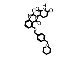 Cc1nc2cccc(SCc3ccc(CN4CCCCC4)cc3)c2c(=O)n1C1CCC(=O)NC1=O